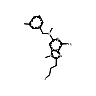 Cc1cccc(CN(C)c2cc3c(nc(CCCO)n3C)c(N)n2)c1